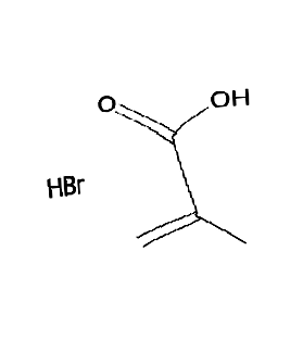 Br.C=C(C)C(=O)O